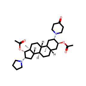 CC(=O)O[C@H]1C[C@@H]2CC[C@@H]3[C@H](CC[C@@]4(C)[C@H]3C[C@H](N3CCCC3)[C@@H]4OC(C)=O)[C@@]2(C)C[C@@H]1N1CCC(=O)CC1